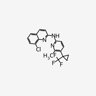 Cc1nc(Nc2ccc3cccc(Cl)c3n2)ccc1C1(C(F)(F)F)CC1